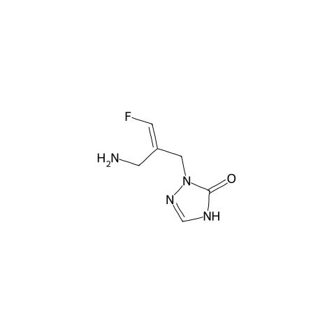 NC/C(=C\F)Cn1nc[nH]c1=O